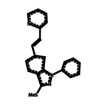 CSc1nn(-c2ccccc2)c2cc(C=Cc3ccccn3)ccc12